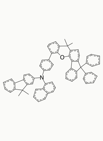 CC1(C)c2ccccc2-c2ccc(N(c3ccc(-c4cccc5c4Oc4c(ccc6c4-c4ccccc4C6(c4ccccc4)c4ccccc4)C5(C)C)cc3)c3cccc4ccccc34)cc21